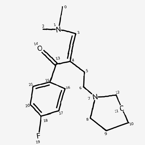 CN(C)C=C(CCN1CCCCC1)C(=O)c1ccc(F)cc1